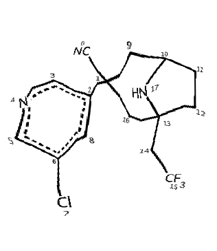 N#CC1(c2cncc(Cl)c2)CC2CCC(CC(F)(F)F)(C1)N2